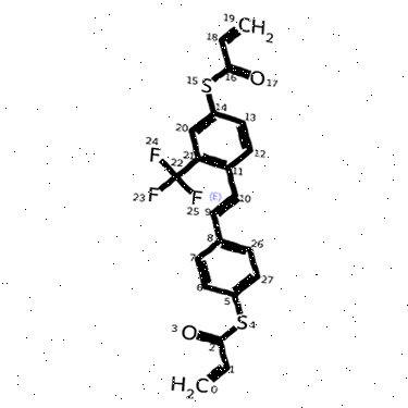 C=CC(=O)Sc1ccc(/C=C/c2ccc(SC(=O)C=C)cc2C(F)(F)F)cc1